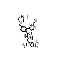 CC(C)(C)CNNC(=O)c1ccc(CN2CCNCC2)cc1-c1ccnc(C#N)n1